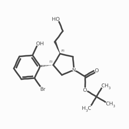 CC(C)(C)OC(=O)N1C[C@H](CCO)[C@@H](c2c(O)cccc2Br)C1